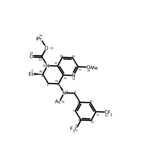 CC[C@@H]1C[C@H](N(Cc2cc(C(F)(F)F)cc(C(F)(F)F)c2)C(C)=O)c2nc(OC)ccc2N1C(=O)OC(C)C